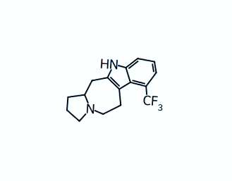 FC(F)(F)c1cccc2[nH]c3c(c12)CCN1CCCC1C3